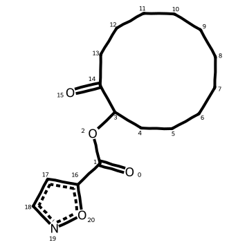 O=C(OC1CCCCCCCCCCC1=O)c1ccno1